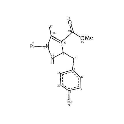 CCN1NC(Cc2ccc(Br)cc2)C(C(=O)OC)=C1C